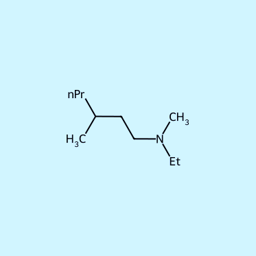 CCCC(C)CCN(C)CC